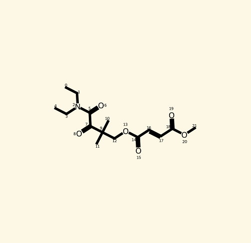 CCN(CC)C(=O)C(=O)C(C)(C)COC(=O)/C=C/C(=O)OC